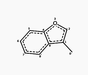 Cc1[c]oc2ccc[c]c12